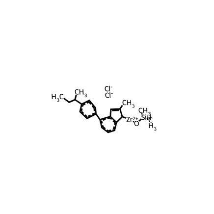 CCC(C)c1ccc(-c2cccc3c2C=C(C)[CH]3[Zr+2][O][SiH](C)C)cc1.[Cl-].[Cl-]